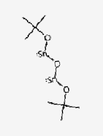 CC(C)(C)[O][Sn][O][Sn][O]C(C)(C)C